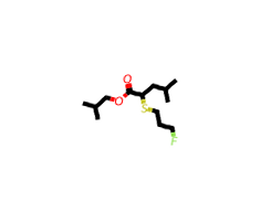 CC(C)COC(=O)C(CC(C)C)SCCCF